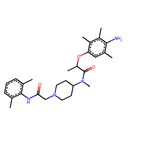 Cc1cc(OC(C)C(=O)N(C)C2CCN(CC(=O)Nc3c(C)cccc3C)CC2)c(C)c(C)c1N